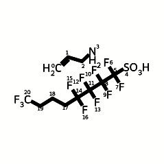 C=CCN.O=S(=O)(O)C(F)(F)C(F)(F)C(F)(F)C(F)(F)CCCC(F)(F)F